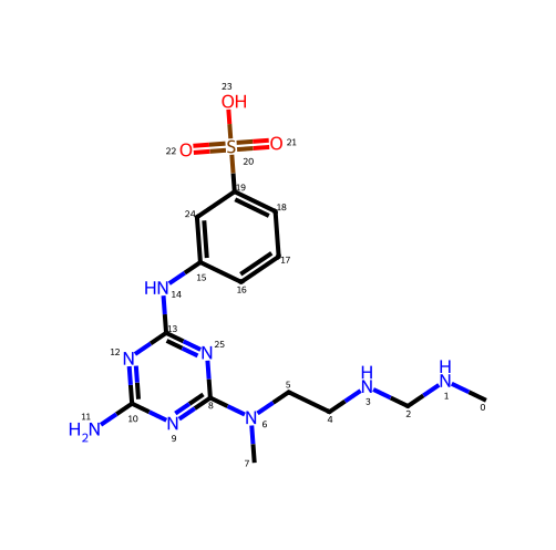 CNCNCCN(C)c1nc(N)nc(Nc2cccc(S(=O)(=O)O)c2)n1